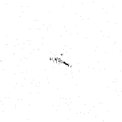 [MgH2].[SiH3][Fe].[Y]